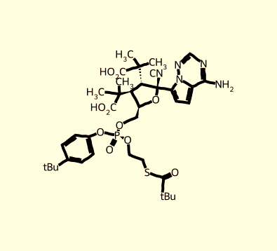 CC(C)(C)C(=O)SCCO[P@](=O)(OC[C@@H]1O[C@@](C#N)(c2ccc3c(N)ncnn23)[C@@H](C(C)(C)C(=O)O)[C@@H]1C(C)(C)C(=O)O)Oc1ccc(C(C)(C)C)cc1